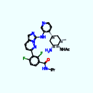 CC(=O)N[C@@H]1[C@H](N)C[C@H](c2ccncc2Nc2ncc3ccc(-c4c(F)ccc(C(=O)NC(C)C)c4F)nn23)C[C@@H]1C